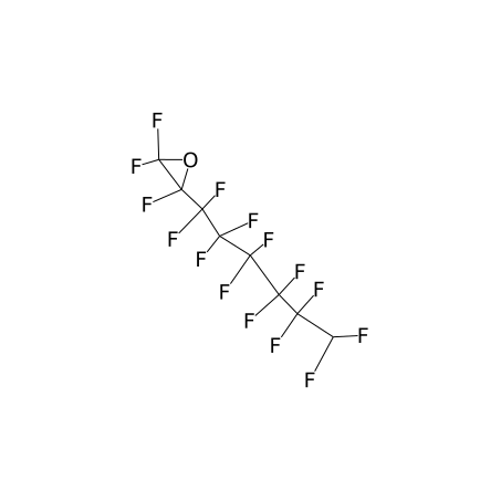 FC(F)C(F)(F)C(F)(F)C(F)(F)C(F)(F)C(F)(F)C1(F)OC1(F)F